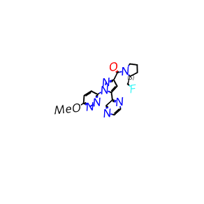 COc1ccc(-n2nc(C(=O)N3CCC[C@H]3CF)cc2-c2cnccn2)nn1